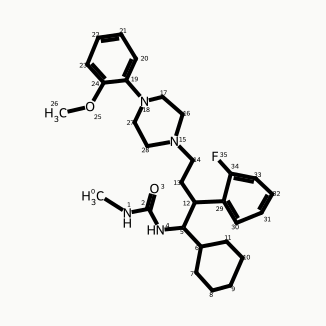 CNC(=O)NC(C1CCCCC1)C(CCN1CCN(c2ccccc2OC)CC1)c1ccccc1F